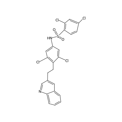 O=S(=O)(Nc1cc(Cl)c(CCc2cnc3ccccc3c2)c(Cl)c1)c1ccc(Cl)cc1Cl